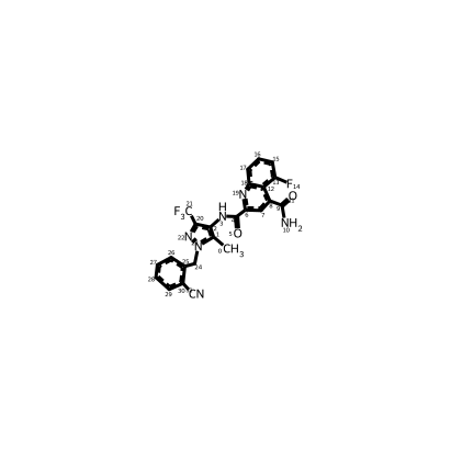 Cc1c(NC(=O)c2cc(C(N)=O)c3c(F)cccc3n2)c(C(F)(F)F)nn1Cc1ccccc1C#N